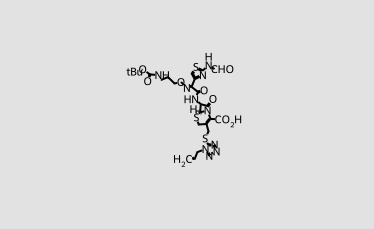 C=CCn1nnnc1SCC1=C(C(=O)O)N2C(=O)C(NC(=O)C(=NOCCCNC(=O)OC(C)(C)C)c3csc(NC=O)n3)[C@@H]2SC1